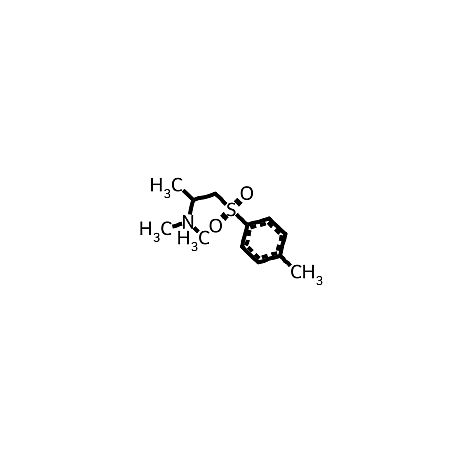 Cc1ccc(S(=O)(=O)CC(C)N(C)C)cc1